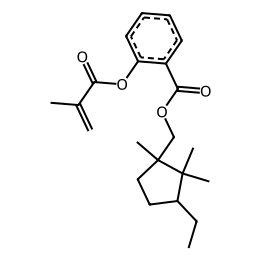 C=C(C)C(=O)Oc1ccccc1C(=O)OCC1(C)CCC(CC)C1(C)C